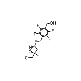 CC1(CCl)CC(SCc2c(F)c(F)c(CO)c(F)c2F)=NO1